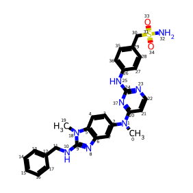 CN(c1ccc2c(c1)nc(NCc1ccccc1)n2C)c1ccnc(Nc2ccc(CS(N)(=O)=O)cc2)n1